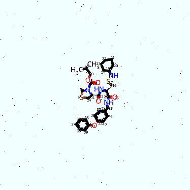 CC(C)COC(=O)N1CSC[C@H]1C(=O)N[C@@H](CSNC1CCCCC1)C(=O)NCc1ccc(Oc2ccccc2)cc1